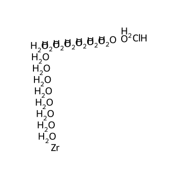 Cl.O.O.O.O.O.O.O.O.O.O.O.O.O.O.O.O.[Zr]